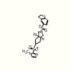 Cn1ccnc1S(=O)(=O)C1C[C@@H]2CN(S(=O)(=O)c3ccc4c(c3)CCO4)C[C@@H]2C1